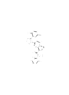 Cc1cccnc1NC(=O)c1cnn2ccc(N3CCCC3c3cc(F)ccc3F)nc12